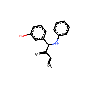 C=CC(=C)C(Nc1ccccc1)c1cccc(O)c1